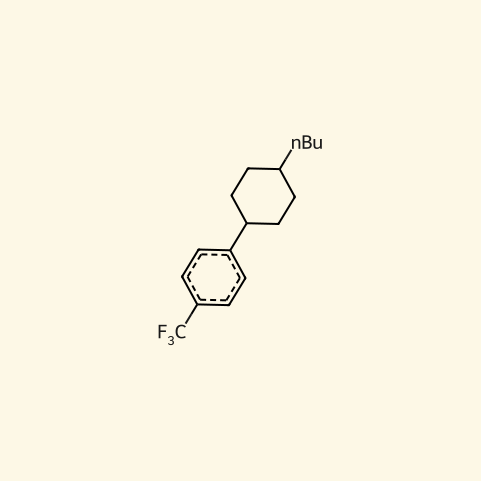 CCCCC1CCC(c2ccc(C(F)(F)F)cc2)CC1